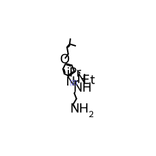 CCN(/C(=N\c1ccc(OCC=C(C)C)cc1)NCCCN)C(C)C